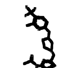 CC(=O)Nc1ncc(CN2CCC(Cc3ccc(C(F)(F)F)c(C)n3)C2)s1